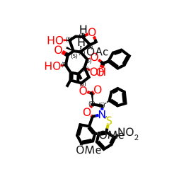 COc1ccc(C2O[C@@H](C(=O)O[C@H]3C[C@@]4(O)[C@@H](OC(=O)c5ccccc5)[C@@H]5[C@]6(OC(C)=O)CO[C@@H]6C[C@H](O)[C@@]5(C)C(=O)[C@H](O)C(=C3C)C4(C)C)[C@H](c3ccccc3)N2Sc2ccccc2[N+](=O)[O-])c(OC)c1